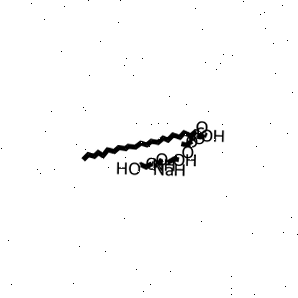 CCCCCCCCCCCCCCCCCCCCC(CS(=O)(=O)O)OC(C)=O.OCCONOCCO.[NaH]